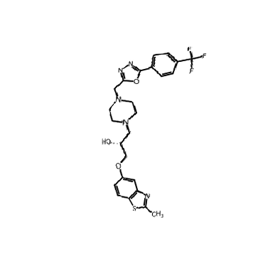 Cc1nc2cc(OC[C@H](O)CN3CCN(Cc4nnc(-c5ccc(C(F)(F)F)cc5)o4)CC3)ccc2s1